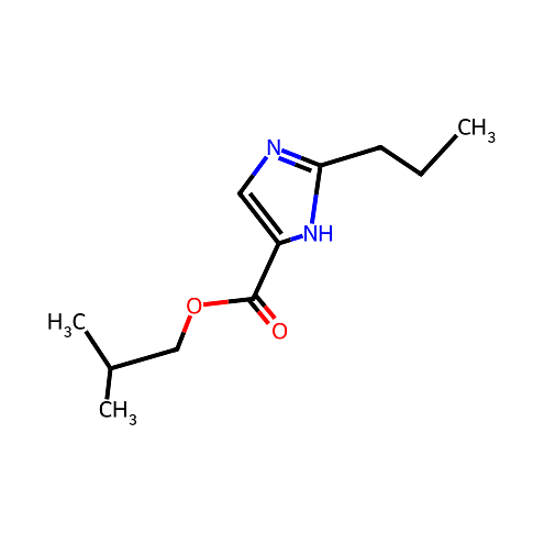 CCCc1ncc(C(=O)OCC(C)C)[nH]1